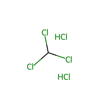 Cl.Cl.ClC(Cl)Cl